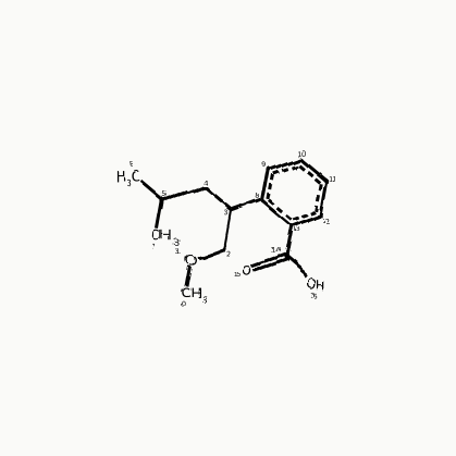 COCC(CC(C)C)c1ccccc1C(=O)O